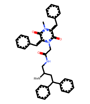 CNC(CNC(=O)Cn1c(=O)c(=Cc2ccccc2)n(C)c(=O)c1=Cc1ccccc1)CC(c1ccccc1)c1ccccc1